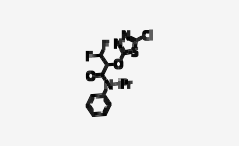 CC(C)N(C(=O)C(Oc1nnc(Cl)s1)C(F)F)c1ccccc1